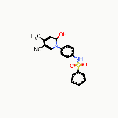 CC1=CC(O)N(c2ccc(NS(=O)(=O)c3ccccc3)cc2)C=C1C#N